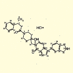 C[C@H](CC(=O)N1CCC(O)(Cn2cnn3c(-c4ccc5c(c4)CNC5)cnc3c2=O)CC1)c1ccccc1.Cl